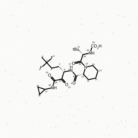 CC(F)(F)CC[C@H](NC(=O)[C@H]1CCCCN1C(=O)[C@@H](NC(=O)O)C(C)(C)C)C(=O)C(=O)NC1CC1